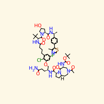 CC(=O)N1CC[C@H]2CC[C@@H](C(=O)N[C@@H](CCC(N)=O)COc3cc(F)cc(CCCC(=O)N[C@H](C(=O)N4C[C@H](O)C[C@H]4C(=O)N[C@@H](C)c4ccc(-c5scnc5C)cc4)C(C)(C)C)c3Cl)N2C(=O)[C@@H](NC(=O)OC(C)(C)C)C1